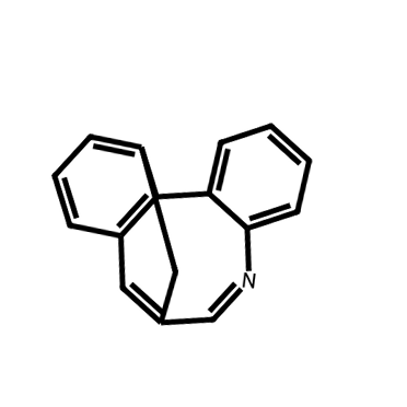 C1=C2/C=N\c3ccccc3-c3c1cccc3C2